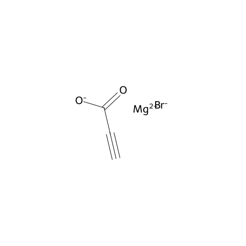 C#CC(=O)[O-].[Br-].[Mg+2]